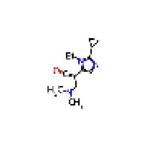 CCn1c(C(=C=O)CN(C)C)cnc1C1CC1